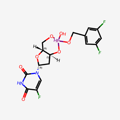 O=c1[nH]c(=O)n([C@H]2C[C@@H]3O[PH](O)(OCc4cc(F)cc(F)c4)OC[C@H]3O2)cc1F